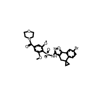 COc1cc(C(=O)N2CCOCC2)cc(OC)c1S(=O)(=O)Nc1noc2c1CC1(CC1)c1ccc(Br)cc1-2